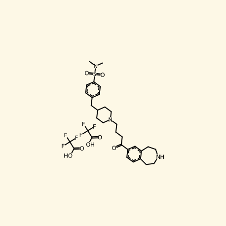 CN(C)S(=O)(=O)c1ccc(CC2CCN(CCCC(=O)c3ccc4c(c3)CCNCC4)CC2)cc1.O=C(O)C(F)(F)F.O=C(O)C(F)(F)F